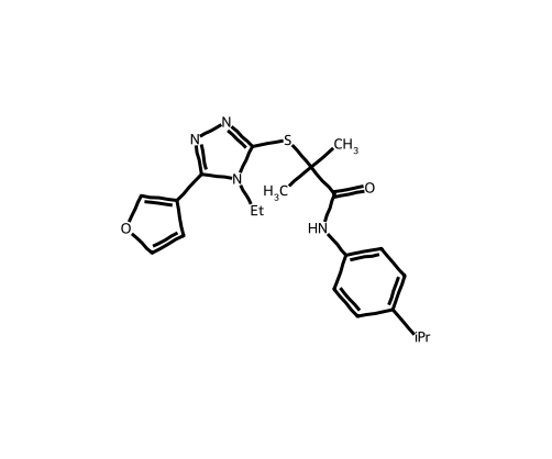 CCn1c(SC(C)(C)C(=O)Nc2ccc(C(C)C)cc2)nnc1-c1ccoc1